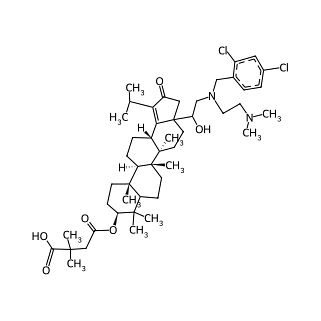 CC(C)C1=C2[C@H]3CC[C@@H]4[C@@]5(C)CC[C@H](OC(=O)CC(C)(C)C(=O)O)C(C)(C)C5CC[C@@]4(C)[C@]3(C)CCC2(C(O)CN(CCN(C)C)Cc2ccc(Cl)cc2Cl)CC1=O